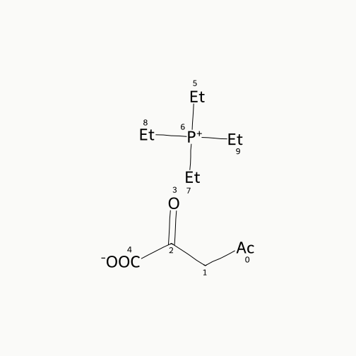 CC(=O)CC(=O)C(=O)[O-].CC[P+](CC)(CC)CC